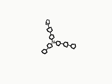 c1ccc(-c2ccc(-c3ccc(N(c4ccc(-c5ccccc5)cc4)c4ccc(-c5ccc(C6CC7CCC6C7)cc5)cc4)cc3)cc2)cc1